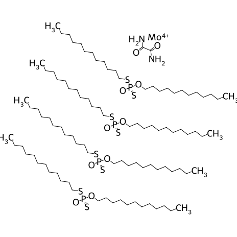 CCCCCCCCCCCCOP([O-])(=S)SCCCCCCCCCCCC.CCCCCCCCCCCCOP([O-])(=S)SCCCCCCCCCCCC.CCCCCCCCCCCCOP([O-])(=S)SCCCCCCCCCCCC.CCCCCCCCCCCCOP([O-])(=S)SCCCCCCCCCCCC.NC(=O)C(N)=O.[Mo+4]